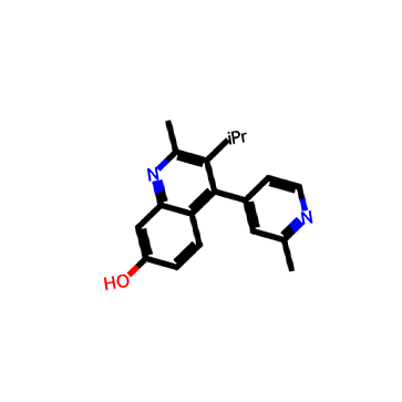 Cc1cc(-c2c(C(C)C)c(C)nc3cc(O)ccc23)ccn1